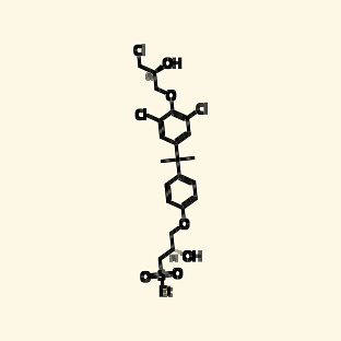 CCS(=O)(=O)C[C@@H](O)COc1ccc(C(C)(C)c2cc(Cl)c(OC[C@H](O)CCl)c(Cl)c2)cc1